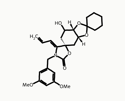 C=C/C=C1\N(Cc2cc(OC)cc(OC)c2)C(=O)O[C@@]12CC(O)[C@@H]1OC3(CCCCC3)O[C@@H]1C2